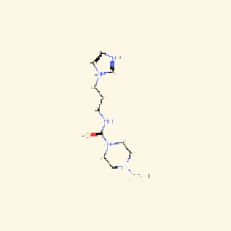 O=C(O)N1CCN(C(=O)NCCCn2ccnc2)CC1